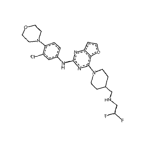 FC(F)CNCC1CCN(c2nc(Nc3ccc(N4CCOCC4)c(Cl)c3)nc3ccoc23)CC1